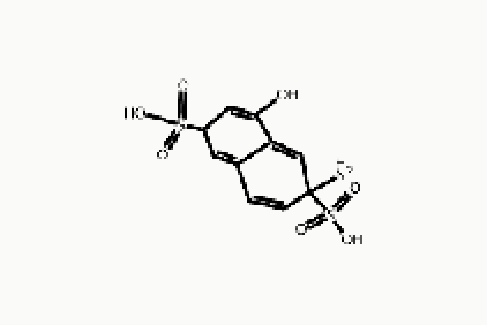 NC1(S(=O)(=O)O)C=CC2=CC(S(=O)(=O)O)C=C(O)C2=C1